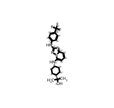 CC(C)(O)[C@H]1CC[C@H](Nc2cccc3nc(Nc4ccc(C(F)(F)F)cc4)nn23)CC1